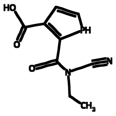 CCN(C#N)C(=O)c1[pH]ccc1C(=O)O